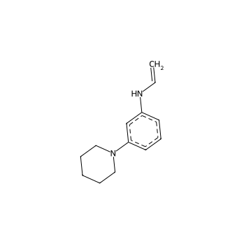 C=CNc1cccc(N2CCCCC2)c1